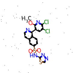 COc1nc(Cl)c(Cl)cc1-c1nccc2cc(S(=O)(=O)Nc3nncs3)ccc12